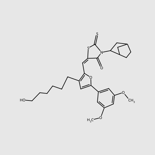 COc1cc(OC)cc(-c2cc(CCCCCCO)c(/C=C3/SC(=S)N(C4CC5CCC4C5)C3=O)o2)c1